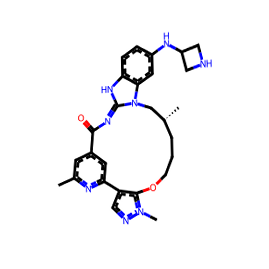 Cc1cc2cc(n1)-c1cnn(C)c1OCCC[C@@H](C)CN1/C(=N/C2=O)Nc2ccc(NC3CNC3)cc21